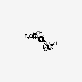 Cc1cc(C(F)(F)F)nn1-c1ccc(CN2CCOc3cnc(Cl)nc32)cc1